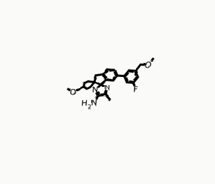 COCc1cc(F)cc(-c2ccc3c(c2)C2(N=C(C)C(N)=N2)C2(CCC(OC)CC2)C3)c1